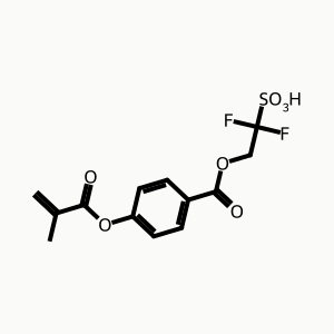 C=C(C)C(=O)Oc1ccc(C(=O)OCC(F)(F)S(=O)(=O)O)cc1